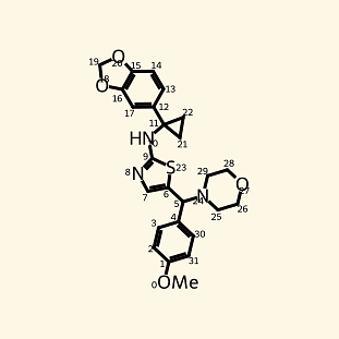 COc1ccc(C(c2cnc(NC3(c4ccc5c(c4)OCO5)CC3)s2)N2CCOCC2)cc1